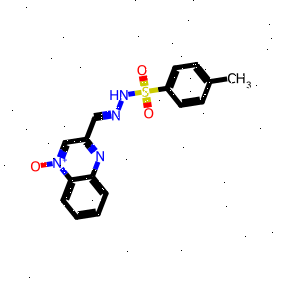 Cc1ccc(S(=O)(=O)NN=Cc2c[n+]([O-])c3ccccc3n2)cc1